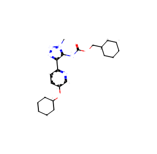 Cn1nnc(-c2ccc(OC3CCCCC3)cn2)c1NC(=O)OCC1CCCCC1